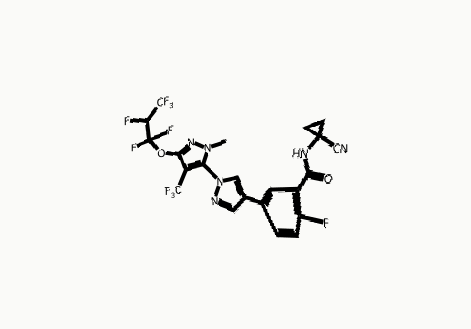 Cn1nc(OC(F)(F)C(F)C(F)(F)F)c(C(F)(F)F)c1-n1cc(-c2ccc(F)c(C(=O)NC3(C#N)CC3)c2)cn1